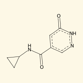 O=C(NC1CC1)c1cn[nH]c(=O)c1